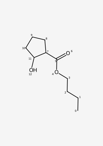 CCCCOC(=O)C1CCCC1O